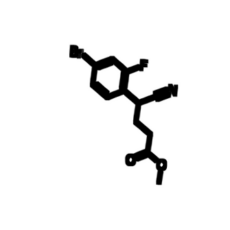 COC(=O)CCC(C#N)c1ccc(Br)cc1F